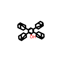 Oc1c(C23CC4CC(CC(C4)C2)C3)c(C23CC4CC(CC(C4)C2)C3)cc(C23CC4CC(CC(C4)C2)C3)c1C12CC3CC(CC(C3)C1)C2